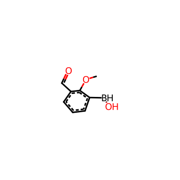 COc1c(BO)cccc1C=O